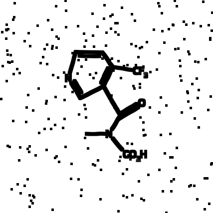 CN(C(=O)O)C(=O)c1cnccc1C(F)(F)F